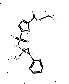 O=C(NCC(F)(F)F)c1ccc(S(=O)(=O)N[C@]2(C(=O)O)C[C@H]2c2ccccc2)s1